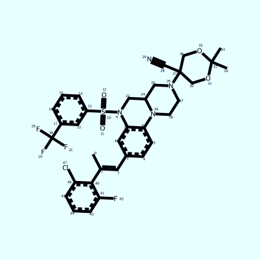 CC(=Cc1ccc2c(c1)N(S(=O)(=O)c1cccc(C(F)(F)F)c1)CC1CN(C3(C#N)COC(C)(C)OC3)CCN21)c1c(F)cccc1Cl